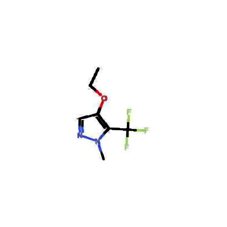 CCOc1[c]nn(C)c1C(F)(F)F